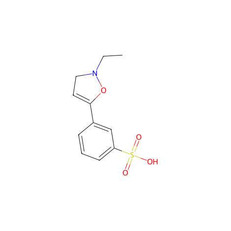 CCN1CC=C(c2cccc(S(=O)(=O)O)c2)O1